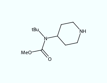 COC(=O)N(C1CCNCC1)C(C)(C)C